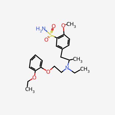 CCOc1ccccc1OCCN(CC)C(C)Cc1ccc(OC)c(S(N)(=O)=O)c1